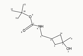 CC1(O)CC(CNC(=O)OC(C)(C)C)C1